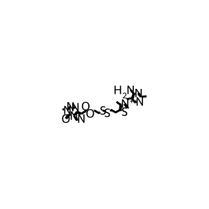 Cc1ncc(C[n+]2csc(CCSSCCOC(=O)c3ncn4c(=O)n(C)nnc34)c2C)c(N)n1